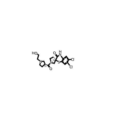 O=C([C@H]1CCN(CCO)C1)N1CC[C@@]2(C1)Sc1cc(Cl)c(Cl)cc1NC2=O